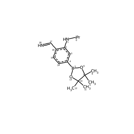 CC(C)Nc1cc(B2OC(C)(C)C(C)(C)O2)ccc1C=N